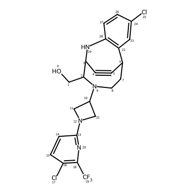 OCC1C2C#CC(CCN1C1CN(c3ccc(Cl)c(C(F)(F)F)n3)C1)c1cc(Cl)ccc1N2